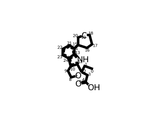 CCC1(CC(=O)O)OCCc2c1[nH]c1c(C3CCCCC3)cccc21